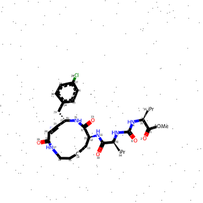 COC(=O)[C@@H](NC(=O)N[C@H](C(=O)N[C@H]1CCCCNC(=O)/C=C/[C@H](Cc2ccc(Cl)cc2)NC1=O)C(C)C)C(C)C